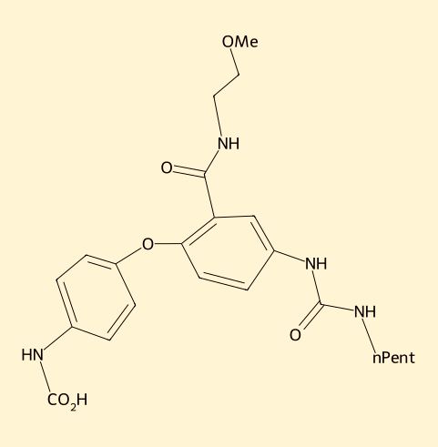 CCCCCNC(=O)Nc1ccc(Oc2ccc(NC(=O)O)cc2)c(C(=O)NCCOC)c1